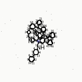 C(/CNC1CCC(c2ccccc2)CC1)=C(/c1cnn(CC2CCC2)c1)c1cc(NC(c2ccccc2)(c2ccccc2)c2ccccc2)nc2c1nnn2C(c1ccccc1)(c1ccccc1)c1ccccc1